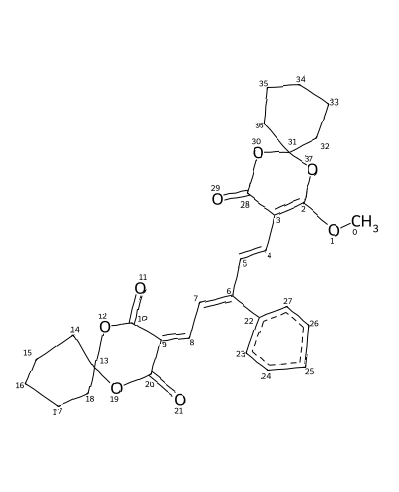 COC1=C(/C=C/C(=C/C=C2C(=O)OC3(CCCCC3)OC2=O)c2ccccc2)C(=O)OC2(CCCCC2)O1